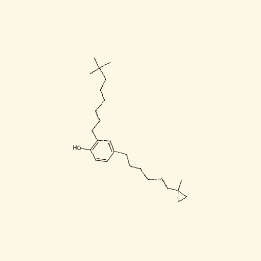 CC(C)(C)CCCCCCc1cc(CCCCCCC2(C)CC2)ccc1O